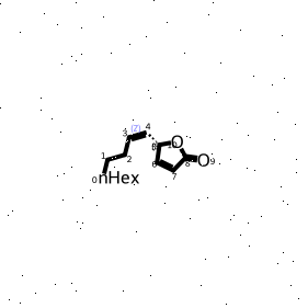 CCCCCCCC/C=C\[C@H]1C=CC(=O)O1